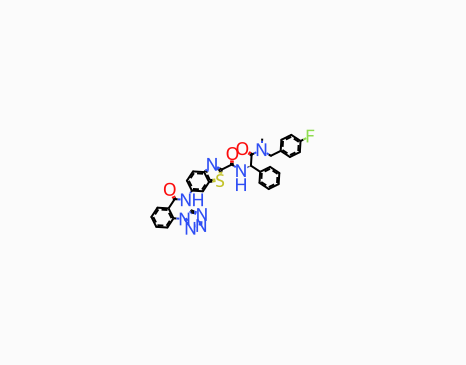 CN(Cc1ccc(F)cc1)C(=O)[C@@H](NC(=O)c1nc2ccc(NC(=O)c3ccccc3-n3cnnn3)cc2s1)c1ccccc1